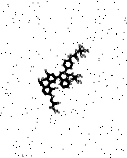 CNC(=O)COc1ccc(C#N)c(-c2cc(C(CN(C(=O)OC(C)(C)C)C3CCC(NC(=O)OC(C)(C)C)CC3)c3ccccc3)cc(F)c2Cl)c1F